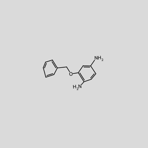 Nc1ccc(N)c(OCc2ccccc2)c1